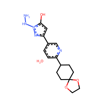 NNn1nc(-c2ccc(C3CCC4(CC3)OCCO4)nc2)cc1O.O